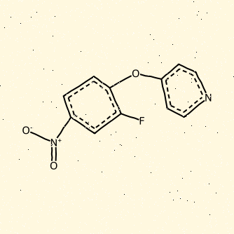 O=[N+]([O-])c1ccc(Oc2ccncc2)c(F)c1